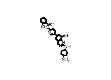 CCc1cc(-c2ccc(N[S+]([O-])c3ccccc3Cl)nc2)cc2cnc(N[C@H]3CC[C@H](N)CC3)nc12